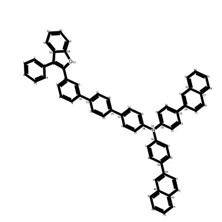 c1ccc(-c2c(-c3cccc(-c4ccc(-c5ccc(N(c6ccc(-c7ccc8ccccc8c7)cc6)c6ccc(-c7ccc8ccccc8c7)cc6)cc5)cc4)c3)oc3ccccc23)cc1